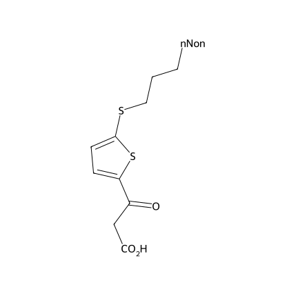 CCCCCCCCCCCCSc1ccc(C(=O)CC(=O)O)s1